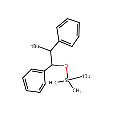 CC(C)(C)C(c1ccccc1)C(O[Si](C)(C)C(C)(C)C)c1ccccc1